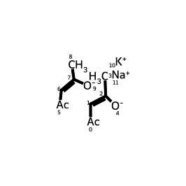 CC(=O)/C=C(/C)[O-].CC(=O)/C=C(/C)[O-].[K+].[Na+]